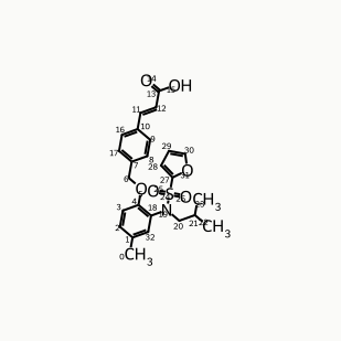 Cc1ccc(OCc2ccc(C=CC(=O)O)cc2)c(N(CC(C)C)S(=O)(=O)c2ccco2)c1